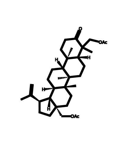 C=C(C)[C@@H]1CC[C@]2(COC(C)=O)CC[C@]3(C)[C@H](CC[C@@H]4[C@@]5(C)CCC(=O)C(C)(COC(C)=O)[C@@H]5CC[C@]43C)[C@@H]12